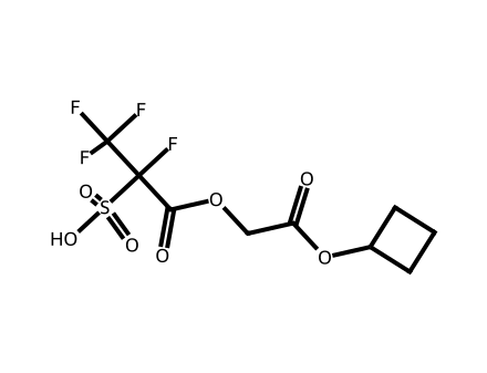 O=C(COC(=O)C(F)(C(F)(F)F)S(=O)(=O)O)OC1CCC1